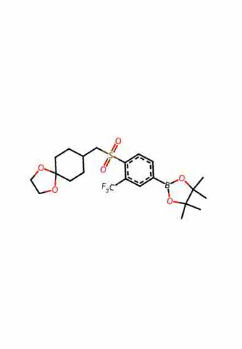 CC1(C)OB(c2ccc(S(=O)(=O)CC3CCC4(CC3)OCCO4)c(C(F)(F)F)c2)OC1(C)C